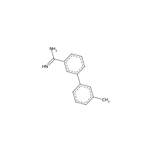 Cc1cccc(-c2[c]ccc(C(=N)N)c2)c1